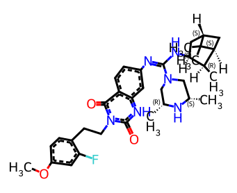 COc1ccc(CCn2c(=O)[nH]c3cc(N=C(N[C@H]4C[C@@H]5C[C@@H]([C@H]4C)C5(C)C)N4C[C@@H](C)N[C@@H](C)C4)ccc3c2=O)c(F)c1